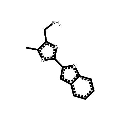 Cc1nc(-c2cc3ccccc3s2)sc1CN